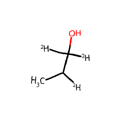 [2H]C(C)C([2H])([2H])O